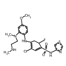 CNCCN(C)c1cc(OC)ccc1NC1=C(Cl)C=C(S(=O)(=O)Nc2cscn2)C(F)C1